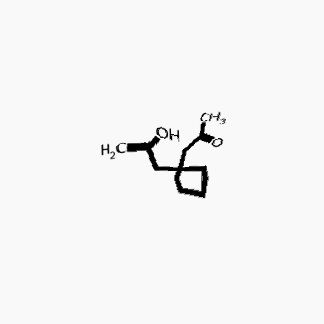 C=C(O)CC1(CC(C)=O)CCC1